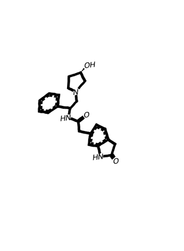 O=C1Cc2ccc(CC(=O)NC(CN3CC[C@H](O)C3)c3ccccc3)cc2N1